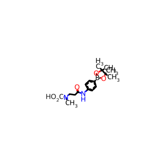 CN(CCC(=O)Nc1ccc(B2OC(C)(C)C(C)(C)O2)cc1)C(=O)O